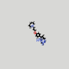 CC1=C(c2ccc(OCCCN3CCCCC3)cc2)NN2C=NN=CC12